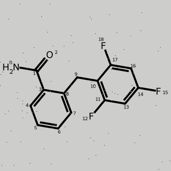 NC(=O)c1ccccc1Cc1c(F)cc(F)cc1F